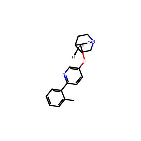 Cc1ccccc1-c1ccc(O[C@H]2CN3CCC2CC3)cn1